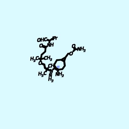 CC(C)C(C=O)NC(=O)CCC(C)(C)OCCC(C)(C)N(N)/C1=C(\N)CCC2C(CC1)C2COC(N)=O